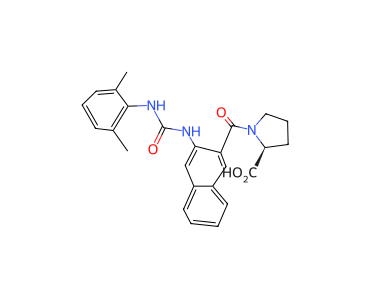 Cc1cccc(C)c1NC(=O)Nc1cc2ccccc2cc1C(=O)N1CCC[C@H]1C(=O)O